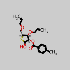 C=CCOC[C@H]1SC(O)[C@@H](OC(=O)c2ccc(C)cc2)[C@@H]1OCC=C